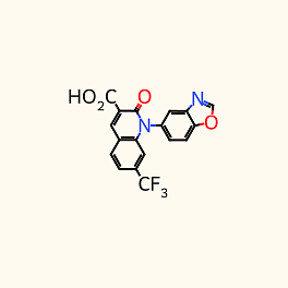 O=C(O)c1cc2ccc(C(F)(F)F)cc2n(-c2ccc3ocnc3c2)c1=O